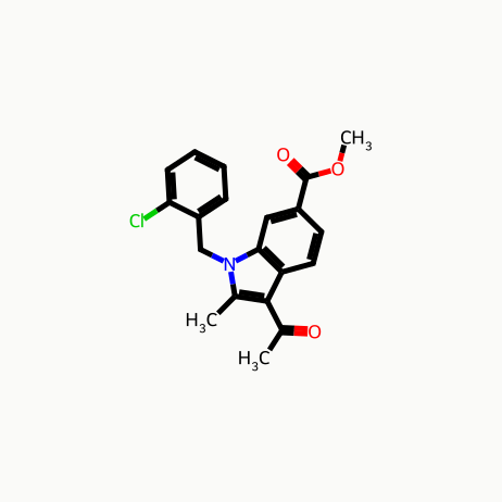 COC(=O)c1ccc2c(C(C)=O)c(C)n(Cc3ccccc3Cl)c2c1